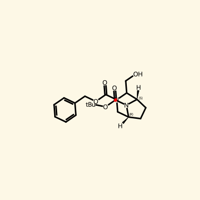 CC(C)(C)OC(=O)N1[C@@H]2CC[C@H]1C(CO)N(C(=O)OCc1ccccc1)C2